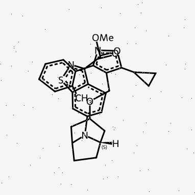 COC(=O)c1nsc2cc(N3C4CC[C@H]3CC(OCc3c(-c5ccccc5C)noc3C3CC3)C4)ccc12